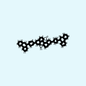 COc1ccc2cc(-c3ccc(-c4cc5ccccc5c5ccccc45)cc3)ccc2c1-c1c(OC)ccc2cc(-c3ccc(-c4cc5ccccc5c5ccccc45)cc3)ccc12